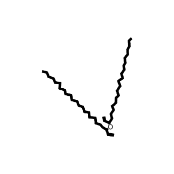 C=CC(CCCCCCCCCCCCCCCCCCCCC)OC(C=C)CCCCCCCCCCCCCCCCCCCCC